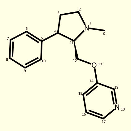 CN1CCC(c2ccccc2)[C@@H]1COc1cccnc1